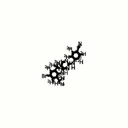 [2H]c1c([2H])c(Nc2nccc(Nc3c(C([2H])([2H])[2H])c([2H])c(Br)c([2H])c3C([2H])([2H])[2H])n2)c([2H])c([2H])c1C#N